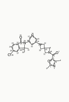 Cc1nc(C)c(C(=O)N2CC3(C2)CN(c2cncc(N4C(=O)c5ccc(Cl)cc5C4(C)C)c2)C3)o1